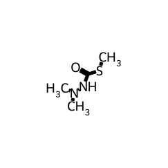 CSC(=O)NN(C)C